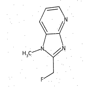 Cn1c(CF)nc2ncccc21